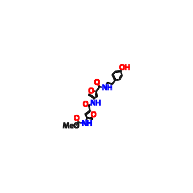 COC(=O)Nc1coc(C(=O)Nc2coc(C(=O)NCCc3ccc(O)cc3)c2)c1